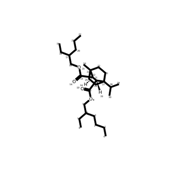 CCCCC(CC)COC(=O)[C@@H]1[C@@H](C(=O)OCC(CC)CCC)C2(C)CCC1(C(C)C)CC2